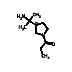 CCC(=O)N1CC[C@H](C(C)(C)N)C1